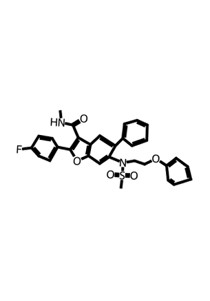 CNC(=O)c1c(-c2ccc(F)cc2)oc2cc(N(CCOc3ccccc3)S(C)(=O)=O)c(-c3ccccc3)cc12